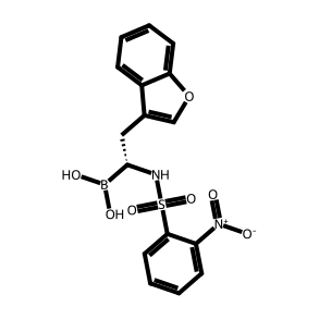 O=[N+]([O-])c1ccccc1S(=O)(=O)N[C@@H](Cc1coc2ccccc12)B(O)O